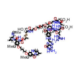 C=C1C[C@H]2C=Nc3cc(OCCCCCOc4cc(NC(=O)OCC(C)SSC[C@H](NC(=O)CCOCCOCCOCCOCCNC(=O)[C@H](CC(=O)O)NC(=O)[C@H](CC(=O)O)NC(=O)[C@H](CCCNC(=N)N)NC(=O)[C@H](CC(=O)O)NC(=O)CC[C@H](NC(=O)c5ccc(NCc6cnc7nc(N)[nH]c(=O)c7n6)cc5)C(=O)O)C(=O)O)c(C(=O)N5CC(=C)C[C@H]5/C=N/OC)cc4OC)c(OC)cc3C(=O)N2C1